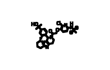 CC(C)(O)c1ccc(C2c3c(nc4n3CCCC4)CCN2C(=O)COc2ccc(NS(C)(=O)=O)nc2Cl)c(F)c1